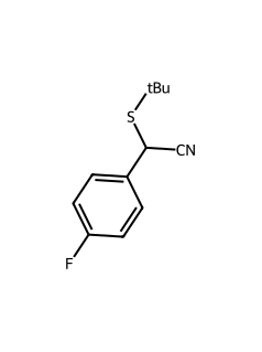 CC(C)(C)SC(C#N)c1ccc(F)cc1